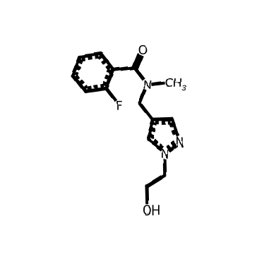 CN(Cc1cnn(CCO)c1)C(=O)c1ccccc1F